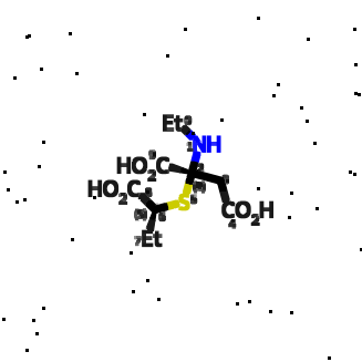 CCN[C@](CC(=O)O)(S[C@@H](CC)C(=O)O)C(=O)O